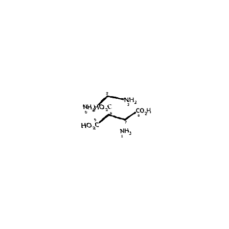 N.N.NCC(=O)O.O=C(O)CCC(=O)O